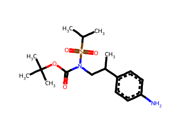 CC(CN(C(=O)OC(C)(C)C)S(=O)(=O)C(C)C)c1ccc(N)cc1